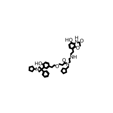 O=C1COc2c(CCNCCN(CC3CCCC3)C(=O)CCOCCc3ccc(O)c(C4(c5ccccc5)CN(C5CCCC5)C4)c3)ccc(O)c2N1